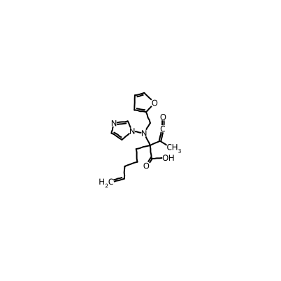 C=CCCCC(C(=O)O)(C(C)=C=O)N(Cc1ccco1)n1ccnc1